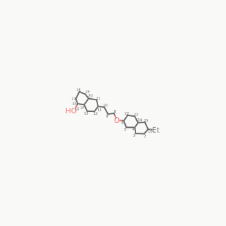 CCC1CCC2CC(OCCCC3CCC4C(O)CCCC4C3)CCC2C1